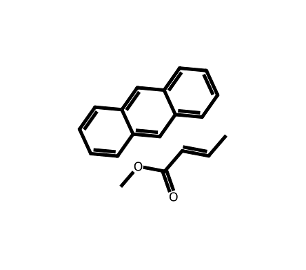 CC=CC(=O)OC.c1ccc2cc3ccccc3cc2c1